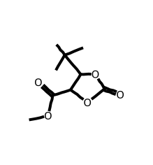 COC(=O)C1OC(=O)OC1C(C)(C)C